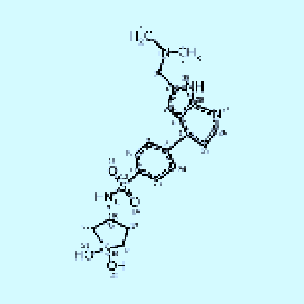 CN(C)Cc1cc2c(-c3ccc(S(=O)(=O)N[C@@H]4CCS(O)(O)C4)cc3)ccnc2[nH]1